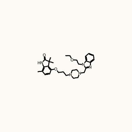 CCOCCn1c(CN2CCN(CCCOc3ccc(C)c4c3C(C)(C)C(=O)N4)CC2)nc2ccccc21